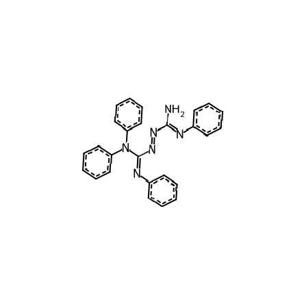 NC(N=NC(=Nc1ccccc1)N(c1ccccc1)c1ccccc1)=Nc1ccccc1